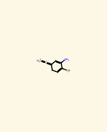 C=C=C1C=C(N)C(C#N)=CC1